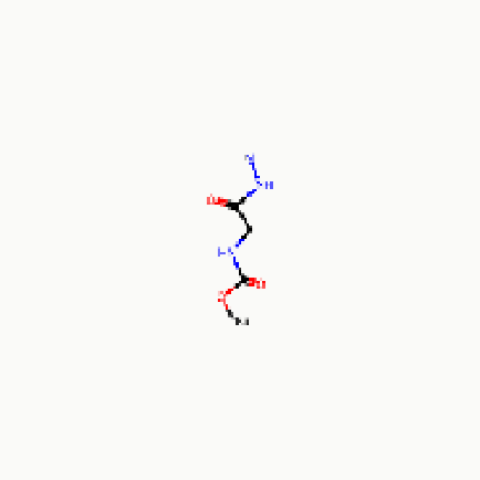 CC(C)(C)OC(=O)NCC(=O)N[N]